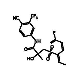 C=C(F)/C=C\C(=C/C)S(=O)(=O)CC(C)(O)C(=O)Nc1ccc(C#N)c(C(F)(F)F)c1